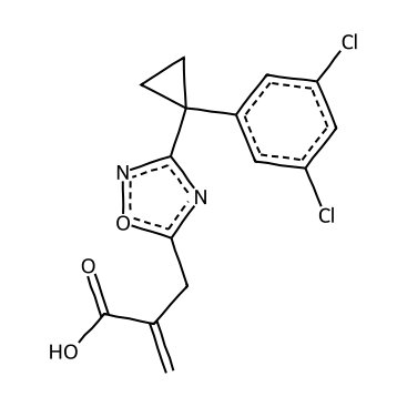 C=C(Cc1nc(C2(c3cc(Cl)cc(Cl)c3)CC2)no1)C(=O)O